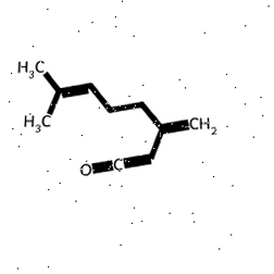 C=C(C=C=O)CCC=C(C)C